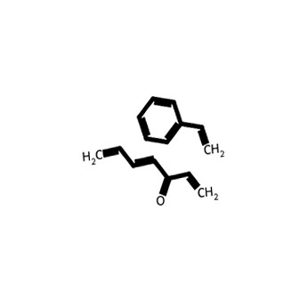 C=CC=CC(=O)C=C.C=Cc1ccccc1